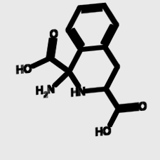 NC1(C(=O)O)NC(C(=O)O)Cc2ccccc21